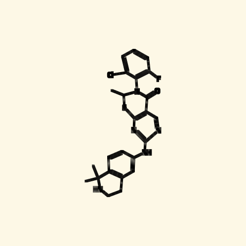 CC1Sc2nc(Nc3ccc4c(c3)CCNC4(C)C)ncc2C(=O)N1c1c(F)cccc1Cl